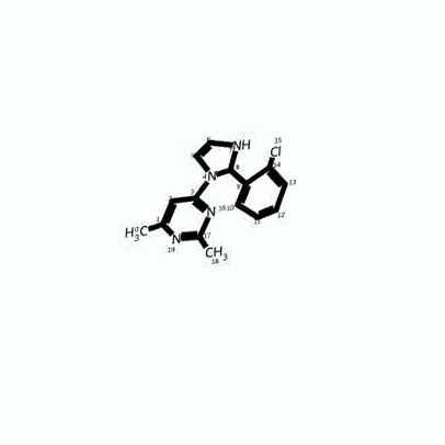 Cc1cc(N2C=CNC2c2ccccc2Cl)nc(C)n1